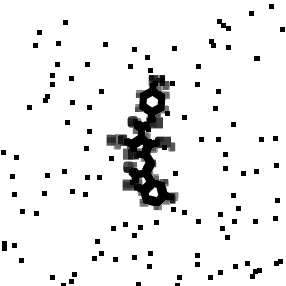 Cc1[nH]c(/C=C2\C(=O)Nc3ccc(F)cc32)c(C)c1C(=O)NC1CCC(N)CC1